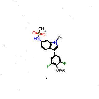 COc1c(F)cc(-c2cn(C(C)C)c3cc(NS(C)(=O)=O)ccc23)cc1F